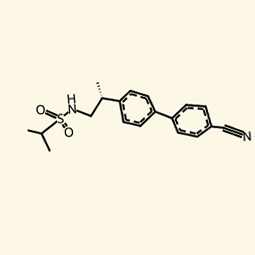 CC(C)S(=O)(=O)NC[C@H](C)c1ccc(-c2ccc(C#N)cc2)cc1